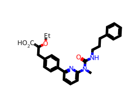 CCOC(Cc1ccc(-c2cccc(N(C)C(=O)NCCCc3ccccc3)n2)cc1)C(=O)O